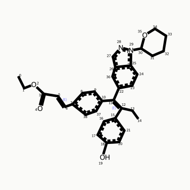 CCOC(=O)/C=C/c1ccc(/C(=C(/CC)c2ccc(O)cc2)c2ccc3c(cnn3C3CCCCO3)c2)cc1